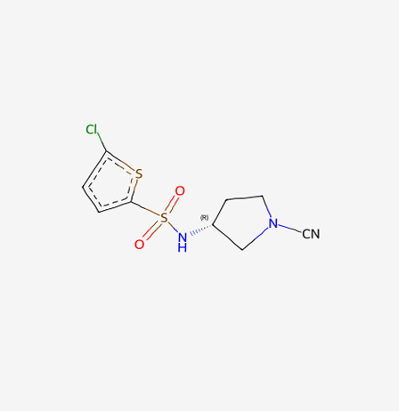 N#CN1CC[C@@H](NS(=O)(=O)c2ccc(Cl)s2)C1